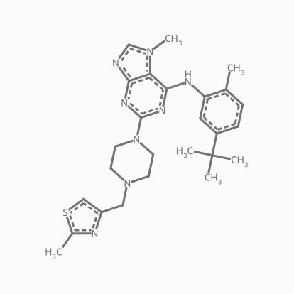 Cc1nc(CN2CCN(c3nc(Nc4cc(C(C)(C)C)ccc4C)c4c(ncn4C)n3)CC2)cs1